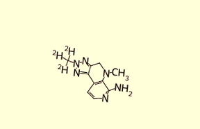 [2H]C([2H])([2H])n1nc2c(n1)-c1ccnc(N)c1N(C)C2